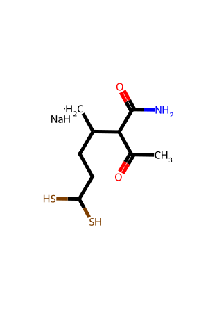 [CH2]C(CCC(S)S)C(C(C)=O)C(N)=O.[NaH]